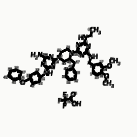 CCNc1nc(NCc2ccc(OC)c(OC)c2)nc(N2CCN(c3nc(N)nc(Nc4ccc(Oc5ccccc5)cc4)n3)CC2Cc2ccccc2)n1.O=C(O)C(F)(F)F